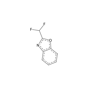 FC(F)c1nc2ccccc2o1